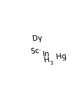 [Dy].[Hg].[InH3].[Sc]